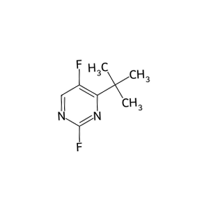 CC(C)(C)c1nc(F)ncc1F